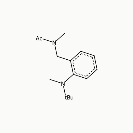 CC(=O)N(C)Cc1ccccc1N(C)C(C)(C)C